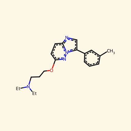 CCN(CC)CCCOc1ccc2ncc(-c3cccc(C)c3)n2n1